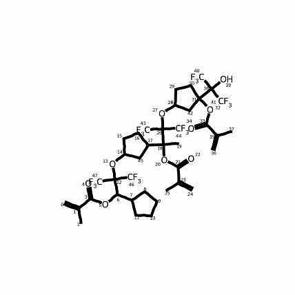 C=C(C)C(=O)OC(C1CCCC1)C(OC1CCC(C(C)(OC(=O)C(=C)C)C(OC2CCC(OC(=O)C(=C)C)(C(O)(C(F)(F)F)C(F)(F)F)C2)(C(F)(F)F)C(F)(F)F)C1)(C(F)(F)F)C(F)(F)F